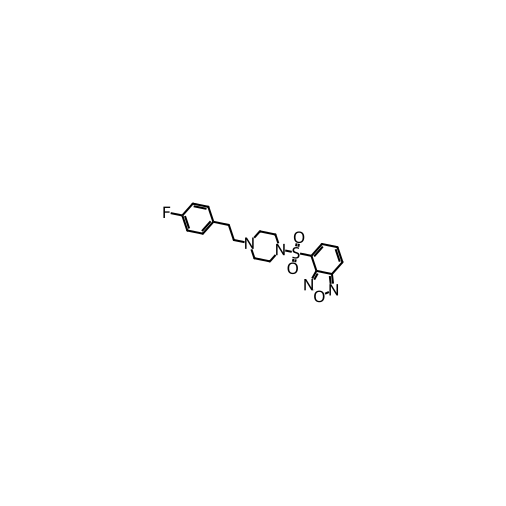 O=S(=O)(c1cccc2nonc12)N1CCN(CCc2ccc(F)cc2)CC1